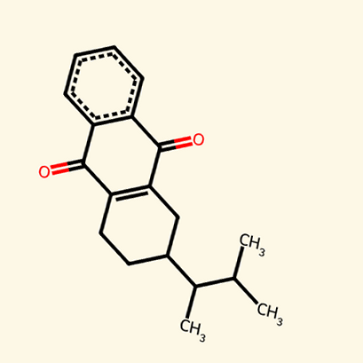 CC(C)C(C)C1CCC2=C(C1)C(=O)c1ccccc1C2=O